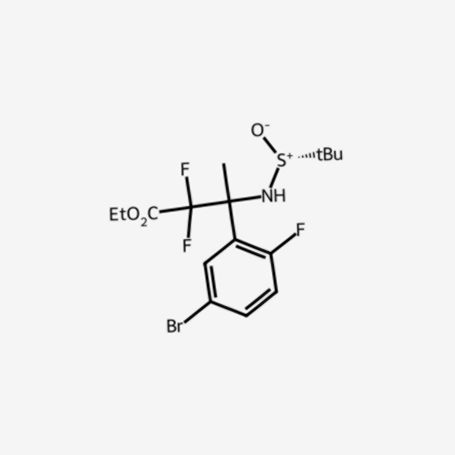 CCOC(=O)C(F)(F)C(C)(N[S@+]([O-])C(C)(C)C)c1cc(Br)ccc1F